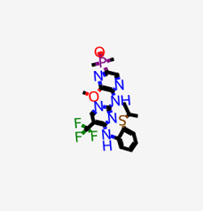 COc1nc(P(C)(C)=O)cnc1Nc1ncc(C(F)(F)F)c(Nc2ccccc2SC(C)C)n1